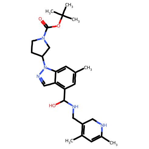 CC1=CC(C)=C(CNC(O)c2cc(C)cc3c2cnn3C2CCN(C(=O)OC(C)(C)C)C2)CN1